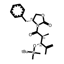 C=C(C)[C@H](O[Si](C)(C)C(C)(C)C)[C@H](C)C(=O)N1C(=O)OC[C@H]1Cc1ccccc1